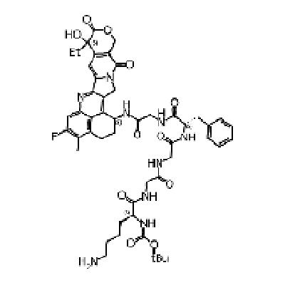 CC[C@@]1(O)C(=O)OCc2c1cc1n(c2=O)Cc2c-1nc1cc(F)c(C)c3c1c2[C@@H](NC(=O)CNC(=O)[C@H](Cc1ccccc1)NC(=O)CNC(=O)CNC(=O)[C@H](CCCCN)NC(=O)OC(C)(C)C)CC3